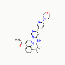 CNC(=O)c1ccnc2c(C(C)[C@H](C)CNc3cc(-c4ccc(N5CCOCC5)nc4)ncn3)cccc12